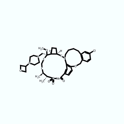 CO[C@]1(CN2CCN(C3COC3)CC2)CCC[C@H](C)[C@@H](C)S(=O)(=O)NC(=O)c2ccc3c(c2)N(CCCCc2cc(Cl)ccc2CO3)C[C@@H]2CC[C@H]21